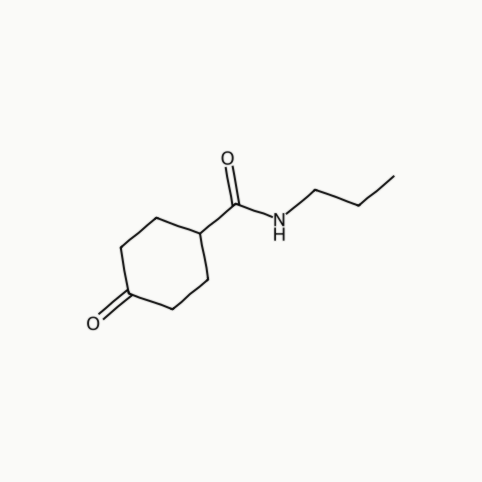 CCCNC(=O)C1CCC(=O)CC1